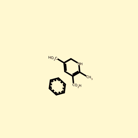 CC1=C(C(=O)O)C=C(C(=O)O)CN1.c1ccccc1